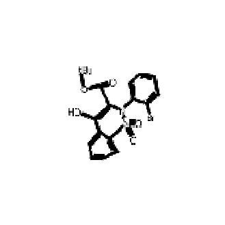 CC(C)(C)OC(=O)C1=C(O)c2ccccc2S(=O)(=O)N1c1ccccc1Br